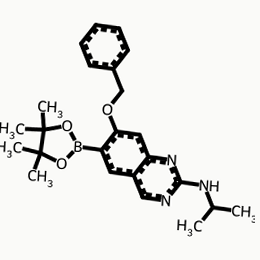 CC(C)Nc1ncc2cc(B3OC(C)(C)C(C)(C)O3)c(OCc3ccccc3)cc2n1